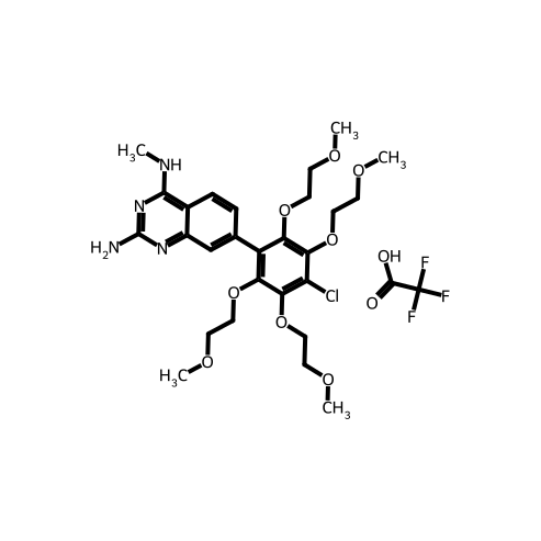 CNc1nc(N)nc2cc(-c3c(OCCOC)c(OCCOC)c(Cl)c(OCCOC)c3OCCOC)ccc12.O=C(O)C(F)(F)F